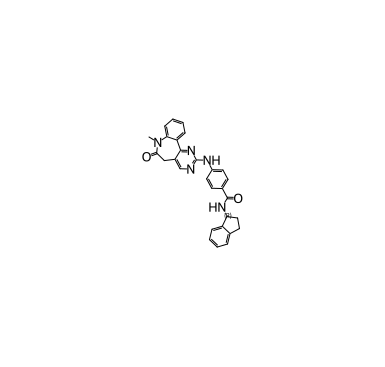 CN1C(=O)Cc2cnc(Nc3ccc(C(=O)N[C@@H]4CCc5ccccc54)cc3)nc2-c2ccccc21